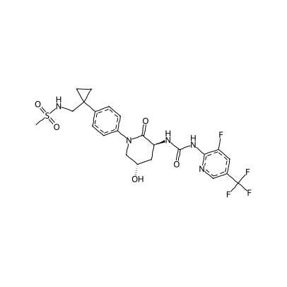 CS(=O)(=O)NCC1(c2ccc(N3C[C@@H](O)C[C@H](NC(=O)Nc4ncc(C(F)(F)F)cc4F)C3=O)cc2)CC1